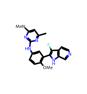 CNc1cc(C)nc(Nc2ccc(OC)c(-c3[nH]c4cnccc4c3F)c2)n1